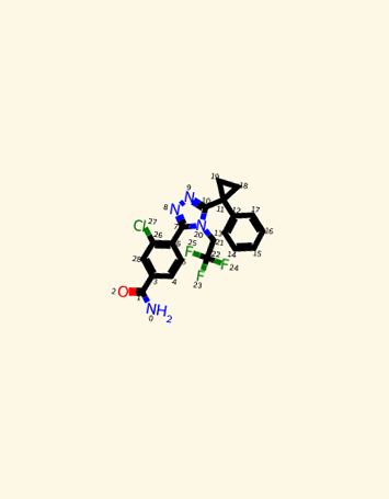 NC(=O)c1ccc(-c2nnc(C3(c4ccccc4)CC3)n2CC(F)(F)F)c(Cl)c1